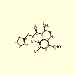 CN(/C=N\c1cc(Br)c(Cl)cc1C=O)CC(=O)CCC1=NCCC1